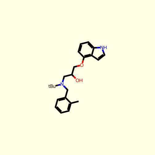 Cc1ccccc1CN(CC(O)COc1cccc2[nH]ccc12)C(C)(C)C